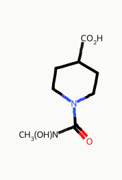 CN(O)C(=O)N1CCC(C(=O)O)CC1